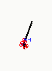 CCCCCCCCCCCCCCCCCCNC(=O)OCc1cc(OC)c(OC)cc1[N+](=O)[O-]